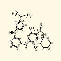 Cc1cc(Nc2cc(Nc3ccn(C(C)C)n3)ncn2)[n+]([O-])c2c1C(=O)NC21CCCCC1